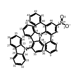 O=[N+]([O-])c1cc(-c2ccccc2)c(-n2c3ccccc3c3c(-n4c5ccccc5c5ccccc54)cccc32)c(-c2ccccc2)c1